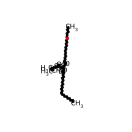 CCCCCCCC/C=C\CCCCCCCCCCCC(=O)O[C@H](COC(=O)CCCCCCCCCCCCCCCCCCCCC)COP(=O)([O-])OCC[N+](C)(C)C